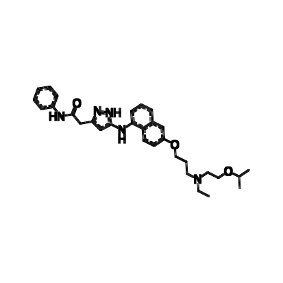 CCN(CCCOc1ccc2c(Nc3cc(CC(=O)Nc4ccccc4)n[nH]3)cccc2c1)CCOC(C)C